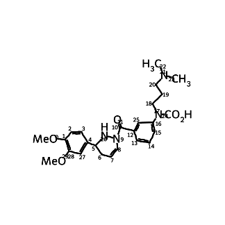 COc1ccc(C2CC=CN(C(=O)c3cccc(N(CCCN(C)C)C(=O)O)c3)N2)cc1OC